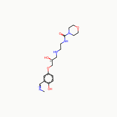 C/N=C\c1cc(OC[C@@H](O)CNCCNC(=O)N2CCOCC2)ccc1O